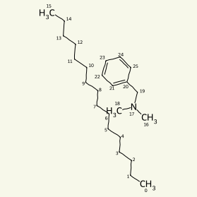 CCCCCCCCCCCCCCCC.CN(C)Cc1ccccc1